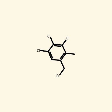 Cc1c(CC(C)C)cc(Cl)c(Cl)c1Cl